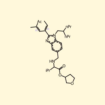 C/C=C(\C=C(\C)C(C)=O)c1nc2cc(CNC(C(=O)OC3CCOC3)C(C)C)ccc2n1CC(CCC)CCC